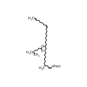 C/C=C/CCCC/C=C\CCCCCCCCC(CCCCCCCCC(C)C/C=C\CCCCC)OC(=O)CCCN(C)C